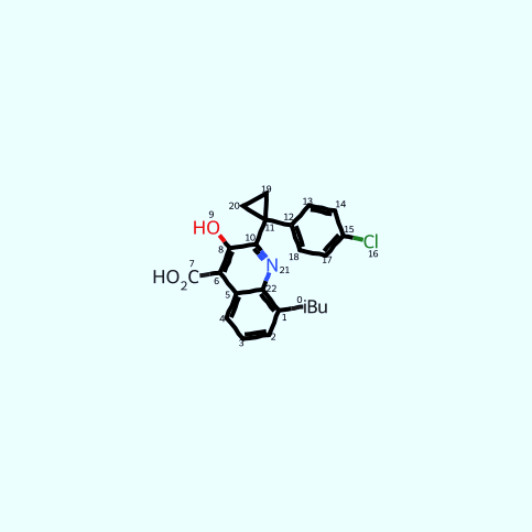 CCC(C)c1cccc2c(C(=O)O)c(O)c(C3(c4ccc(Cl)cc4)CC3)nc12